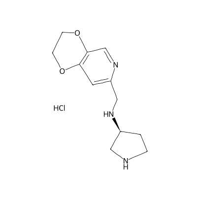 Cl.c1nc(CN[C@H]2CCNC2)cc2c1OCCO2